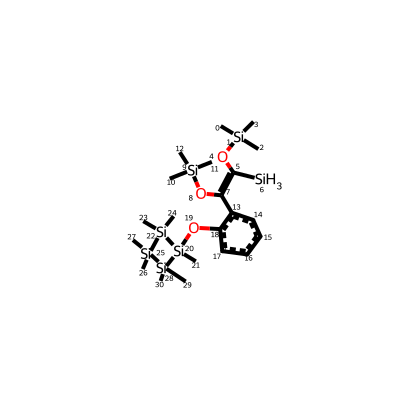 C[Si](C)(C)OC([SiH3])=C(O[Si](C)(C)C)c1ccccc1O[Si]1(C)[Si](C)(C)[Si](C)(C)[Si]1(C)C